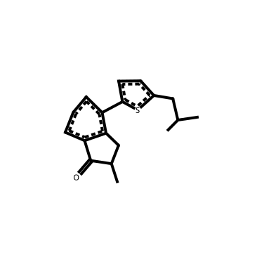 CC(C)Cc1ccc(-c2cccc3c2CC(C)C3=O)s1